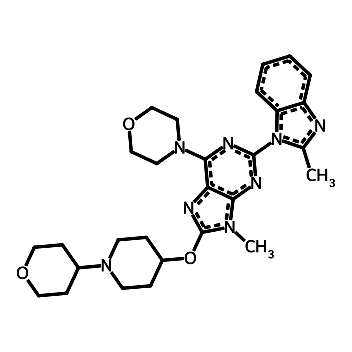 Cc1nc2ccccc2n1-c1nc(N2CCOCC2)c2nc(OC3CCN(C4CCOCC4)CC3)n(C)c2n1